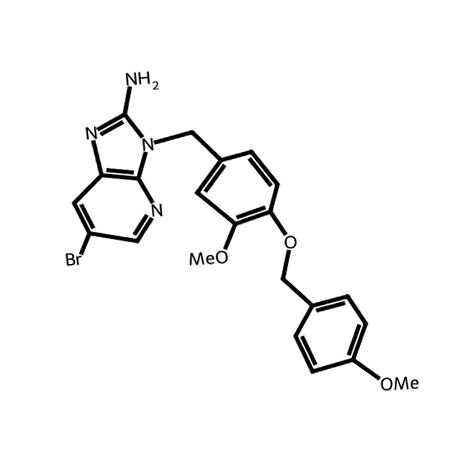 COc1ccc(COc2ccc(Cn3c(N)nc4cc(Br)cnc43)cc2OC)cc1